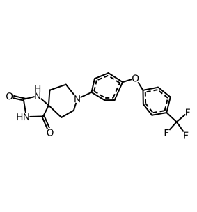 O=C1NC(=O)C2(CCN(c3ccc(Oc4ccc(C(F)(F)F)cc4)cc3)CC2)N1